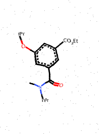 CCCN(C)C(=O)c1cc(OC(C)C)cc(C(=O)OCC)c1